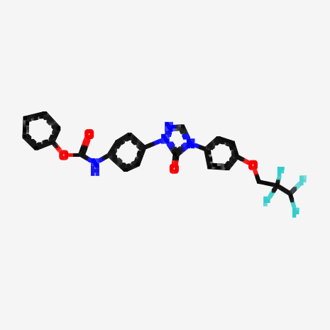 O=C(Nc1ccc(-n2ncn(-c3ccc(OCC(F)(F)C(F)F)cc3)c2=O)cc1)Oc1ccccc1